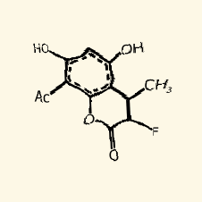 CC(=O)c1c(O)cc(O)c2c1OC(=O)C(F)C2C